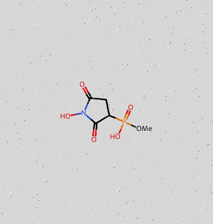 COP(=O)(O)C1CC(=O)N(O)C1=O